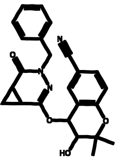 CC1(C)Oc2ccc(C#N)cc2C(OC2=NN(Cc3ccccc3)C(=O)C3CC23)C1O